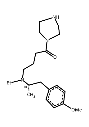 CCN(CCCC(=O)N1CCNCC1)[C@@H](C)Cc1ccc(OC)cc1